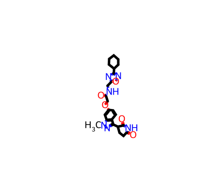 Cn1nc(C2CCC(=O)NC2=O)c2ccc(OCC(=O)NCc3nc(C4CCCCC4)no3)cc21